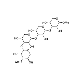 COC1C(O)[C@H](OC2C(O)[C@H](OC3C(O)[C@H](OC4C(O)[C@H](OC)OC[C@H]4O)OC[C@H]3O)OC[C@H]2O)OC[C@H]1O